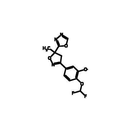 CC1(c2nnco2)CC(c2ccc(OC(F)F)c([O])c2)=NO1